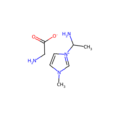 CC(N)[n+]1ccn(C)c1.NCC(=O)[O-]